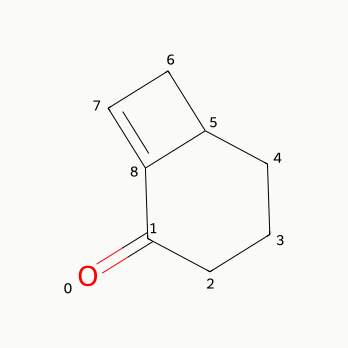 O=C1CCCC2CC=C12